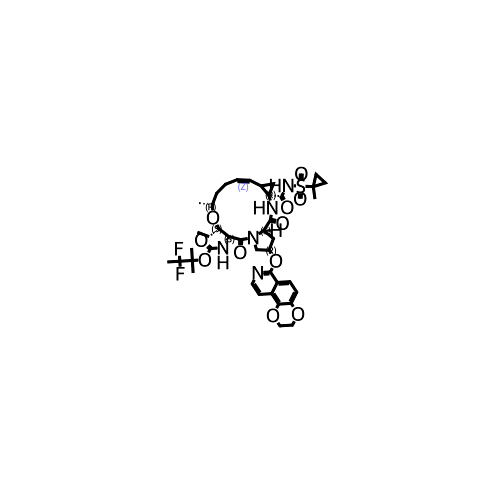 CC[C@@H]1O[C@H](C)CC/C=C\C2C[C@@]2(C(=O)NS(=O)(=O)C2(C)CC2)NC(=O)[C@@H]2C[C@@H](Oc3nccc4c5c(ccc34)OCCO5)CN2C(=O)[C@H]1NC(=O)OC(C)(C)C(C)(F)F